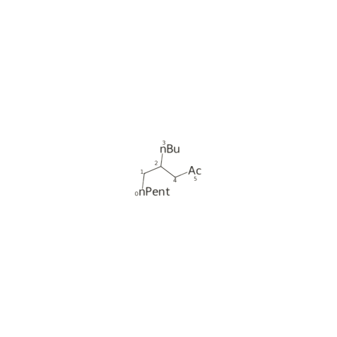 CCCCCCC(CCCC)CC(C)=O